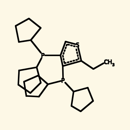 CCc1scc(P(C2CCCC2)C2CCCC2)c1P(C1CCCC1)C1CCCC1